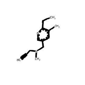 C#CCN(C)Cc1cnc(CC)c(C)c1